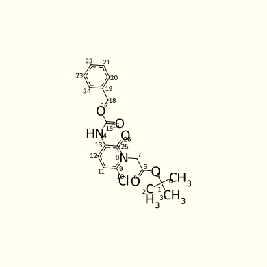 CC(C)(C)OC(=O)Cn1c(Cl)ccc(NC(=O)OCc2ccccc2)c1=O